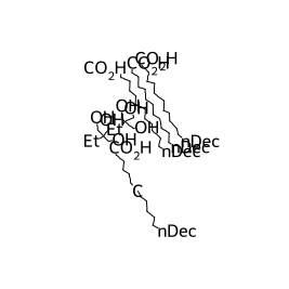 CCC(CO)(CO)CO.CCC(CO)(CO)CO.CCCCCCCCCCCCCCCCCCCCCC(=O)O.CCCCCCCCCCCCCCCCCCCCCC(=O)O.CCCCCCCCCCCCCCCCCCCCCC(=O)O.CCCCCCCCCCCCCCCCCCCCCC(=O)O